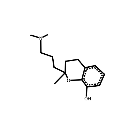 CN(C)CCCC1(C)CCc2cccc(O)c2O1